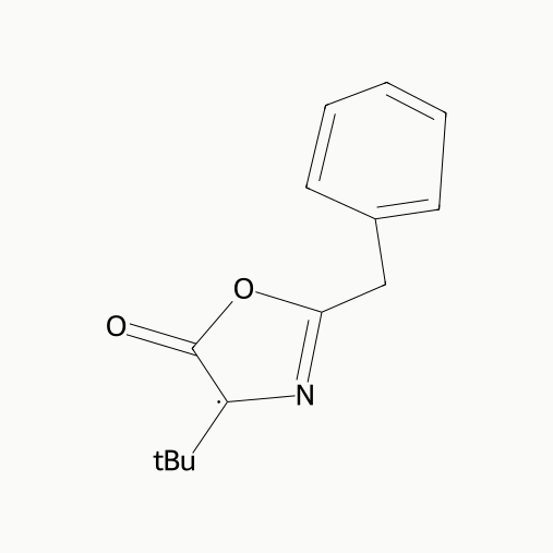 CC(C)(C)[C]1N=C(Cc2ccccc2)OC1=O